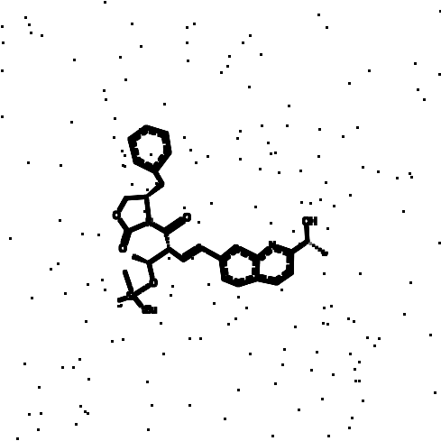 C[C@H](O[Si](C)(C)C(C)(C)C)[C@@H](/C=C/c1ccc2ccc([C@@H](C)O)nc2c1)C(=O)N1C(=O)OC[C@H]1Cc1ccccc1